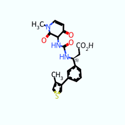 Cc1cscc1-c1cccc([C@H](CC(=O)O)NC(=O)NC2C(=O)C=CN(C)C2=O)c1